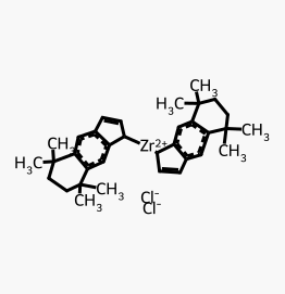 CC1(C)CCC(C)(C)c2cc3c(cc21)C=C[CH]3[Zr+2][CH]1C=Cc2cc3c(cc21)C(C)(C)CCC3(C)C.[Cl-].[Cl-]